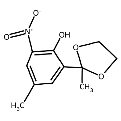 Cc1cc([N+](=O)[O-])c(O)c(C2(C)OCCO2)c1